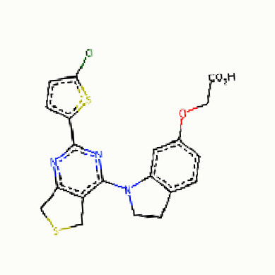 O=C(O)COc1ccc2c(c1)N(c1nc(-c3ccc(Cl)s3)nc3c1CSC3)CC2